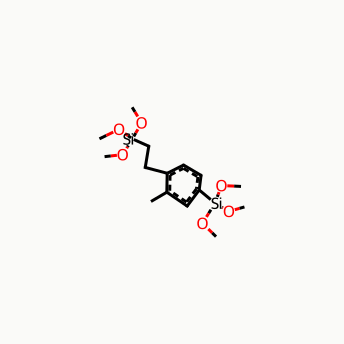 CO[Si](CCc1ccc([Si](OC)(OC)OC)cc1C)(OC)OC